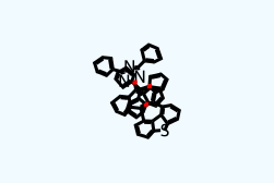 c1ccc(-c2nc(-c3ccccc3)nc(-c3c4ccccc4c(-c4cccc5sc6cccc(-c7c8ccccc8c(-c8ccccc8)c8ccccc78)c6c45)c4ccccc34)n2)cc1